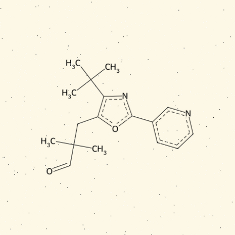 CC(C)(C=O)Cc1oc(-c2cccnc2)nc1C(C)(C)C